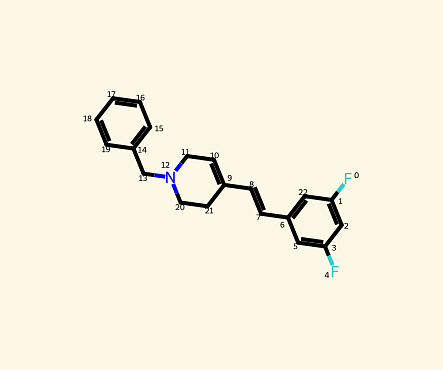 Fc1cc(F)cc(C=CC2=CCN(Cc3ccccc3)CC2)c1